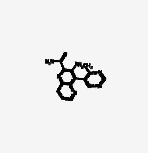 Cc1ncncc1-c1c(N)c(C(N)=O)nc2cccnc12